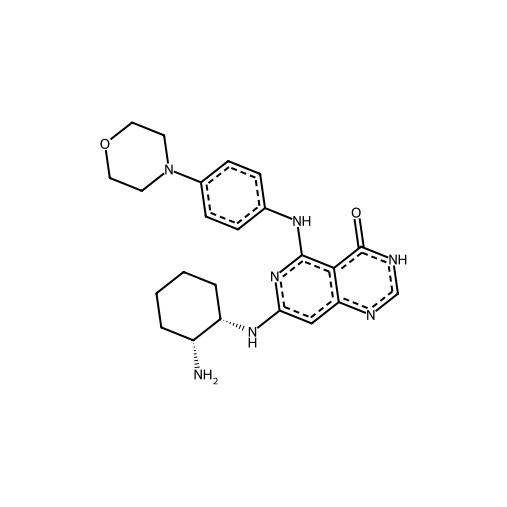 N[C@@H]1CCCC[C@@H]1Nc1cc2nc[nH]c(=O)c2c(Nc2ccc(N3CCOCC3)cc2)n1